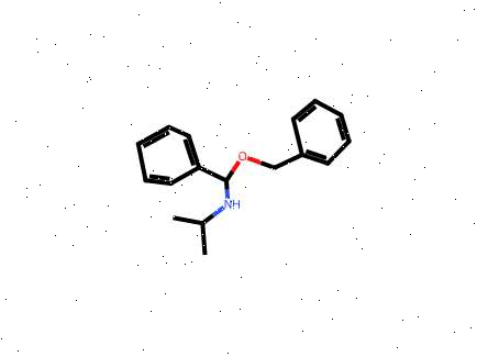 CC(C)NC(OCc1ccccc1)c1ccccc1